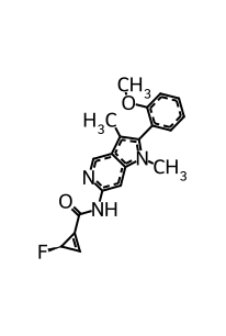 COc1ccccc1-c1c(C)c2cnc(NC(=O)C3=C[C@H]3F)cc2n1C